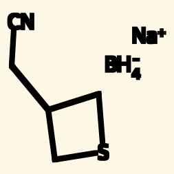 N#CCC1CSC1.[BH4-].[Na+]